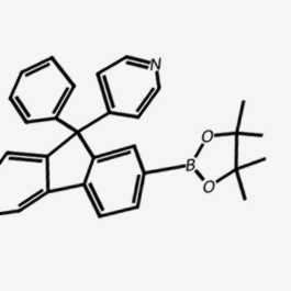 CC1(C)OB(c2ccc3c(c2)C(c2ccccc2)(c2ccncc2)c2ccccc2-3)OC1(C)C